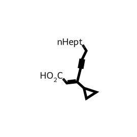 CCCCCCCCC#CC(=CC(=O)O)C1CC1